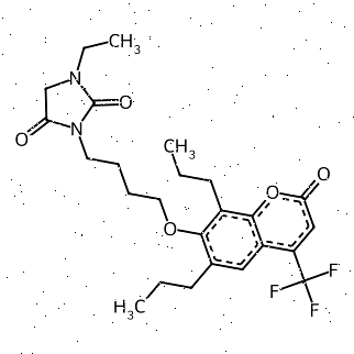 CCCc1cc2c(C(F)(F)F)cc(=O)oc2c(CCC)c1OCCCCN1C(=O)CN(CC)C1=O